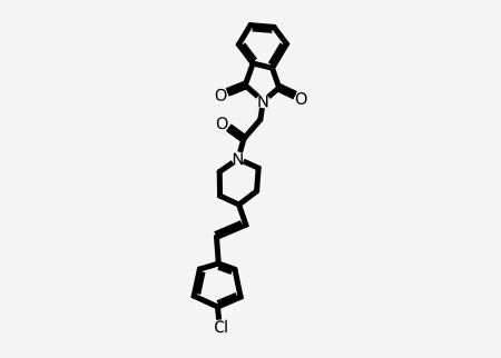 O=C(CN1C(=O)c2ccccc2C1=O)N1CCC(C=Cc2ccc(Cl)cc2)CC1